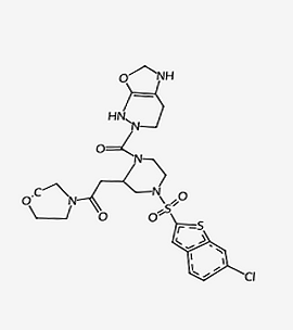 O=C(CC1CN(S(=O)(=O)c2cc3ccc(Cl)cc3s2)CCN1C(=O)N1CCC2=C(N1)OCN2)N1CCOCC1